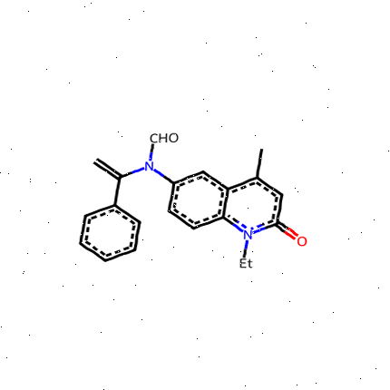 C=C(c1ccccc1)N(C=O)c1ccc2c(c1)c(C)cc(=O)n2CC